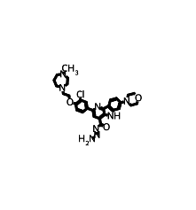 CN1CCCN(CCOc2ccc(-c3cc(C(=O)N=NN)c4[nH]c5cc(N6CCOCC6)ccc5c4n3)cc2Cl)CC1